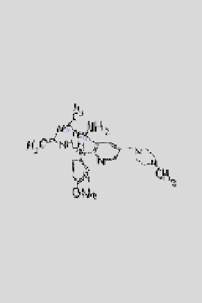 C=C(N)/N=C(C)\N=C(/N)c1cc(CN2CCN(C)CC2)cnc1Nc1ccc(OC)nc1